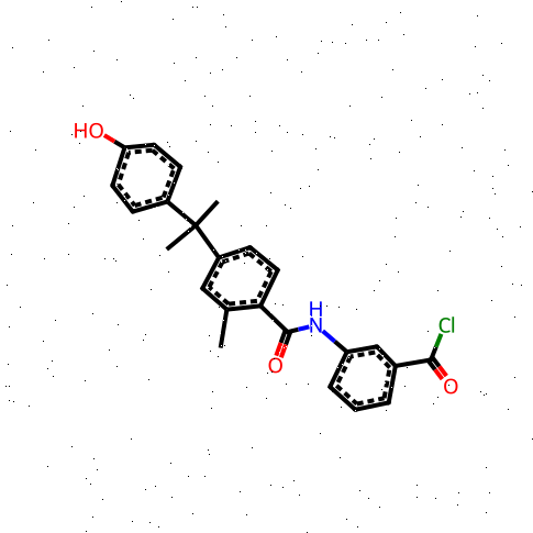 Cc1cc(C(C)(C)c2ccc(O)cc2)ccc1C(=O)Nc1cccc(C(=O)Cl)c1